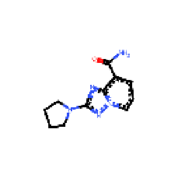 NC(=O)c1[c]ccn2nc(N3CCCC3)nc12